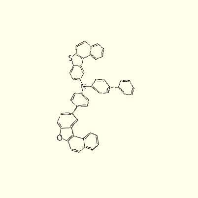 c1ccc(-c2ccc(N(c3ccc(-c4ccc5oc6ccc7ccccc7c6c5c4)cc3)c3ccc4sc5ccc6ccccc6c5c4c3)cc2)cc1